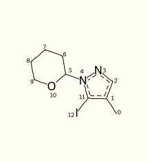 Cc1cnn(C2CCCCO2)c1I